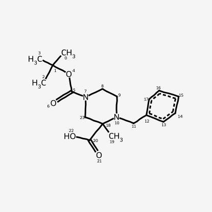 CC(C)(C)OC(=O)N1CCN(Cc2ccccc2)C(C)(C(=O)O)C1